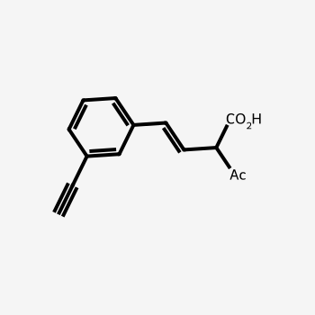 C#Cc1cccc(C=CC(C(C)=O)C(=O)O)c1